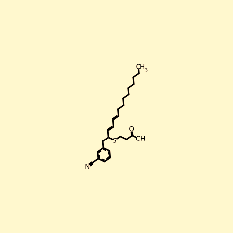 CCCCCCCCC/C=C/C=C/C(Cc1cccc(C#N)c1)SCCC(=O)O